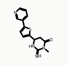 CN1C(=N)NC(c2ccc(-c3cccnc3)s2)CC1=O